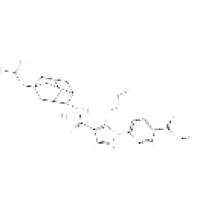 CCCSc1c(C(=O)N[C@H]2C3CC4CC2C[C@@](OC(F)F)(C4)C3)cnn1-c1ccc(C(=O)OC)cc1